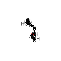 Cc1cccc(C(=O)Nc2cc3sc([C@H]4CC[C@H](CN5CCC6(CC5)CC(CCNc5cccc7c5C(=O)N(C5CCC(=O)NC5=O)C7=O)C6)CC4)nc3cc2C(C)(C)O)n1